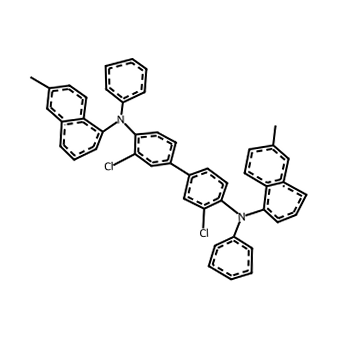 Cc1ccc2c(N(c3ccccc3)c3ccc(-c4ccc(N(c5ccccc5)c5cccc6cc(C)ccc56)c(Cl)c4)cc3Cl)cccc2c1